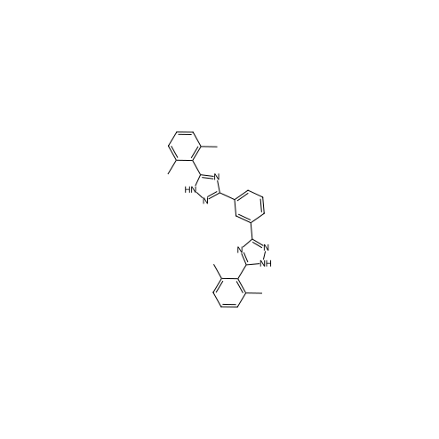 Cc1cccc(C)c1-c1nc(-c2cccc(-c3n[nH]c(-c4c(C)cccc4C)n3)c2)n[nH]1